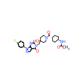 CC(=O)N[C@H]1CC[C@H](C(=O)N2CCC(O)(Cn3cnc4c(cnn4-c4ccc(F)cc4)c3=O)CC2)CC1